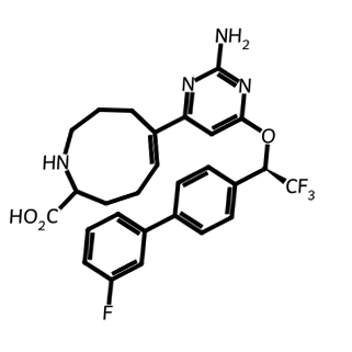 Nc1nc(O[C@H](c2ccc(-c3cccc(F)c3)cc2)C(F)(F)F)cc(/C2=C/CCC(C(=O)O)NCCC2)n1